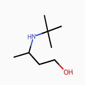 CC(CCO)NC(C)(C)C